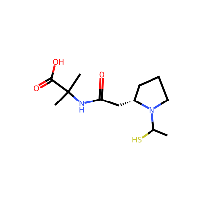 CC(S)N1CCC[C@H]1CC(=O)NC(C)(C)C(=O)O